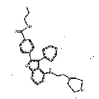 CCCNC(=O)c1ccc(-c2oc3ncnc(NCCN4CCNCC4)c3c2-c2ccccc2)cc1